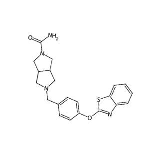 NC(=O)N1CC2CN(Cc3ccc(Oc4nc5ccccc5s4)cc3)CC2C1